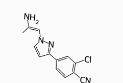 C/C(N)=C\n1ccc(-c2ccc(C#N)c(Cl)c2)n1